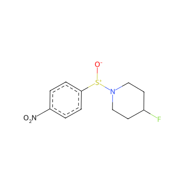 O=[N+]([O-])c1ccc([S+]([O-])N2CCC(F)CC2)cc1